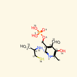 Cc1ncc(COP(=O)(O)O)c(C=O)c1O.NC(CS)C(=O)O